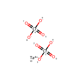 [O]=[Cr](=[O])([O-])[O-].[O]=[Cr](=[O])([O-])[O-].[Ta+4]